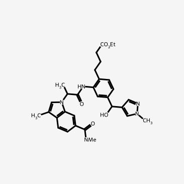 CCOC(=O)CCCc1ccc(C(O)c2cnn(C)c2)cc1NC(=O)C(C)n1cc(C)c2ccc(C(=O)NC)cc21